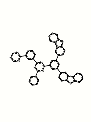 c1ccc(-c2nc(-c3cc(-c4ccc5sc6ccccc6c5c4)cc(-c4ccc5sc6ccccc6c5c4)c3)nc(-c3cccc(-c4ncncn4)c3)n2)cc1